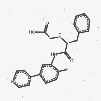 O=C(O)CN[C@@H](Cc1ccccc1)C(=O)Nc1cc(-c2ccncc2)ccc1F